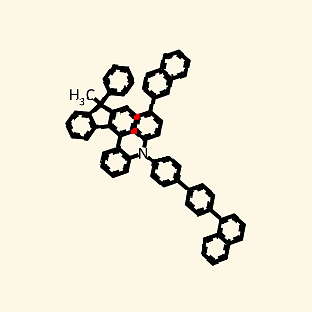 CC1(c2ccccc2)c2ccccc2-c2c(-c3ccccc3N(c3ccc(-c4ccc(-c5cccc6ccccc56)cc4)cc3)c3ccc(-c4ccc5ccccc5c4)cc3)cccc21